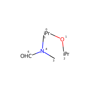 CC(C)OC(C)C.CN(C)C=O